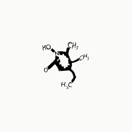 CCc1cc(=O)n(O)c(C)c1C